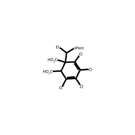 CCCCCC(CC)C1(C(=O)O)C(Cl)=C(Cl)C(Cl)=C(Cl)C1C(=O)O